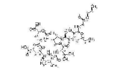 C=CCOC(=O)CNC(=O)C(=O)[C@H](CCCC)NC(=O)[C@@H]1CCCN1C(=O)[C@@H](NC(=O)[C@@H](NC(=O)[C@H](CCC(=O)O)NC(=O)[C@H](CCC(=O)O)NC(C)=O)C(C)C)C(C)C